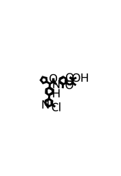 Cc1c(NC(=O)C(c2ccc(-c3cncc(Cl)c3)cc2)C2CCCC2)cccc1OC(C)C(=O)O